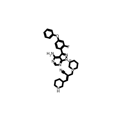 N#CC(=CC1CCCNC1)CN1CCC[C@@H](n2nc(-c3ccc(Oc4ccccc4)cc3F)c3c(N)ncnc32)C1